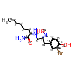 CCCCCCC(NCC(Cc1ccc(O)c(Br)c1)=NO)C(N)=O